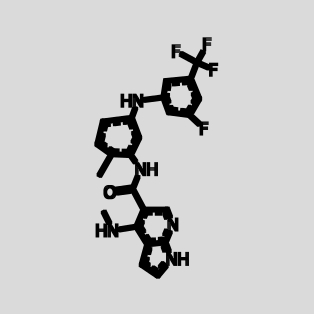 CNc1c(C(=O)Nc2cc(Nc3cc(F)cc(C(F)(F)F)c3)ccc2C)cnc2[nH]ccc12